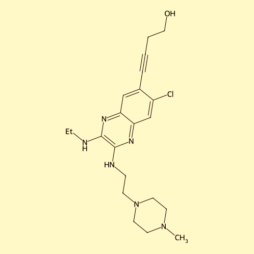 CCNc1nc2cc(C#CCCO)c(Cl)cc2nc1NCCN1CCN(C)CC1